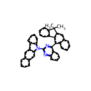 CC1(C)c2ccccc2-c2c1cc1ccccc1c2-c1nc(-n2c3ccccc3c3cc4ccccc4cc32)nc2ccccc12